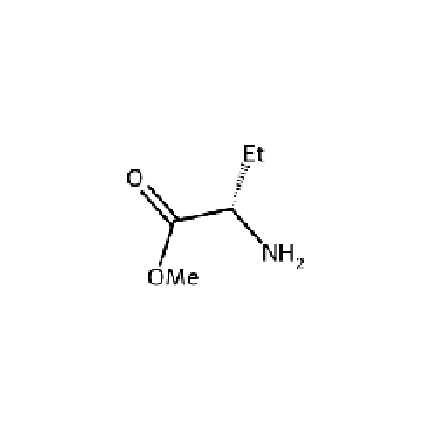 CC[C@H](N)C(=O)OC